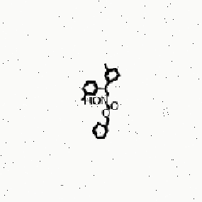 Cc1cccc(C(CN(O)C(=O)OCc2ccccc2)c2cccc(C)c2)c1